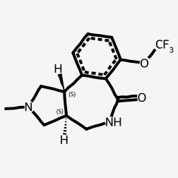 CN1C[C@@H]2CNC(=O)c3c(OC(F)(F)F)cccc3[C@H]2C1